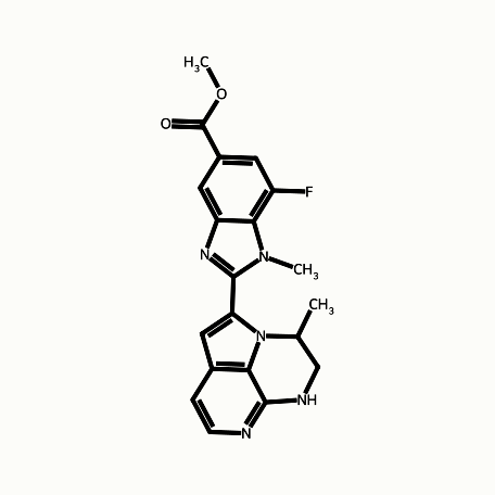 COC(=O)c1cc(F)c2c(c1)nc(-c1cc3ccnc4c3n1C(C)CN4)n2C